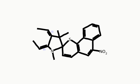 C/C=C1\C(=C/C)N(C)C2(C=Cc3cc([N+](=O)[O-])c4ccccc4c3S2)C1(C)C